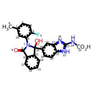 Cc1ccc(F)c(N2C(=O)c3ccccc3C2(O)c2ccc3[nH]c(NC(=O)O)nc3c2)c1